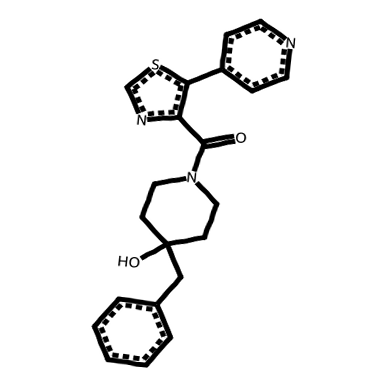 O=C(c1ncsc1-c1ccncc1)N1CCC(O)(Cc2ccccc2)CC1